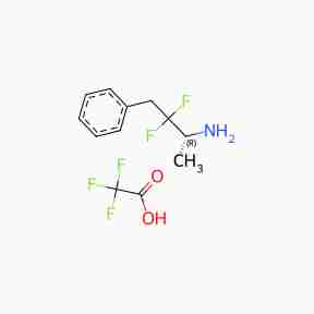 C[C@@H](N)C(F)(F)Cc1ccccc1.O=C(O)C(F)(F)F